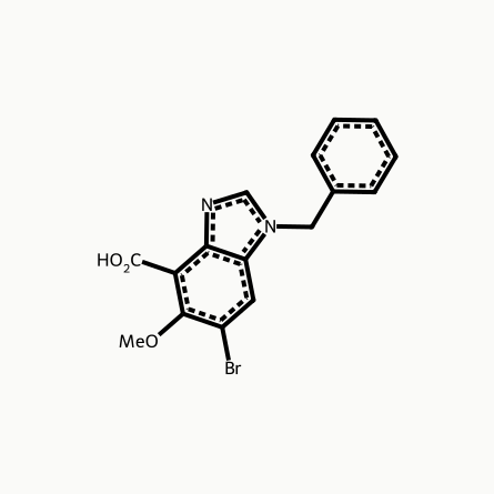 COc1c(Br)cc2c(ncn2Cc2ccccc2)c1C(=O)O